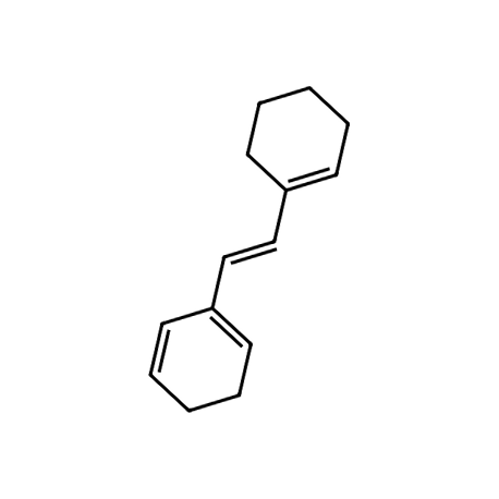 C1=CC(C=CC2=CCCCC2)=CCC1